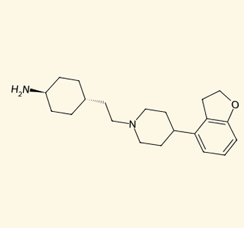 N[C@H]1CC[C@H](CCN2CCC(c3cccc4c3CCO4)CC2)CC1